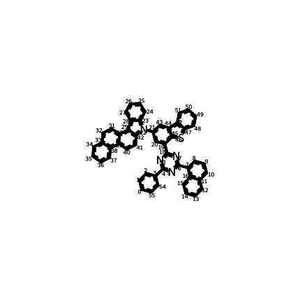 c1ccc(-c2nc(-c3cccc4ccccc34)nc(-c3cc(-n4c5ccccc5c5c6ccc7ccccc7c6ccc54)cc4c3sc3ccccc34)n2)cc1